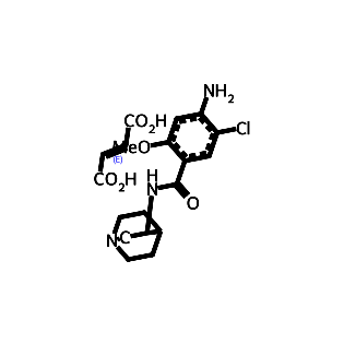 COc1cc(N)c(Cl)cc1C(=O)NC1CN2CCC1CC2.O=C(O)/C=C/C(=O)O